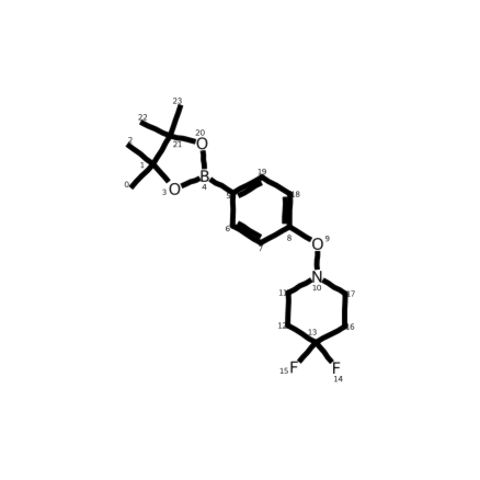 CC1(C)OB(c2ccc(ON3CCC(F)(F)CC3)cc2)OC1(C)C